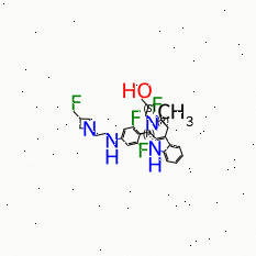 C[C@@H]1Cc2c([nH]c3ccccc23)[C@@H](c2c(F)cc(NCCN3CC(CF)C3)cc2F)N1C[C@H](F)CO